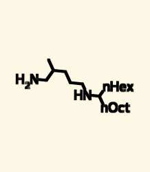 CCCCCCCCC(CCCCCC)NCCCC(C)CN